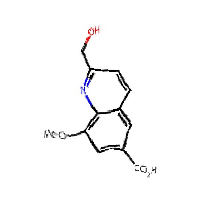 COc1cc(C(=O)O)cc2ccc(CO)nc12